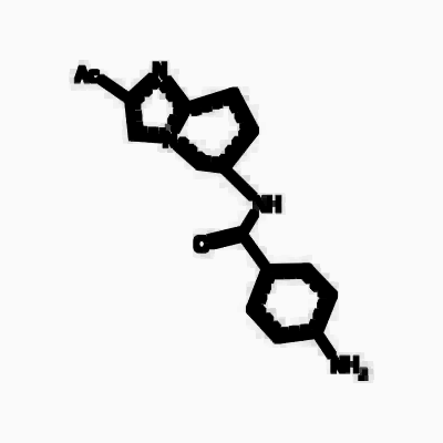 CC(=O)c1cn2cc(NC(=O)c3ccc(N)cc3)ccc2n1